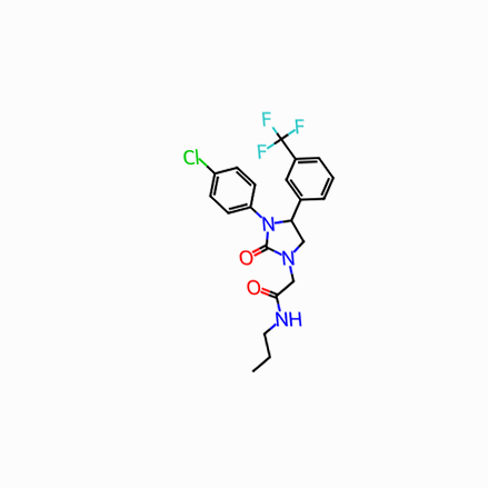 CCCNC(=O)CN1CC(c2cccc(C(F)(F)F)c2)N(c2ccc(Cl)cc2)C1=O